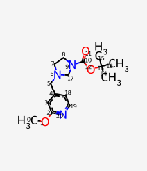 COc1cc(CN2CCN(C(=O)OC(C)(C)C)C2)ccn1